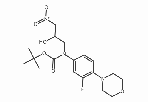 CC(C)(C)OC(=O)N(CC(O)C[N+](=O)[O-])c1ccc(N2CCOCC2)c(F)c1